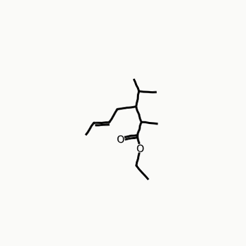 CC=CCC(C(C)C)C(C)C(=O)OCC